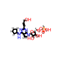 CP(=O)(O)OOC[C@H]1O[C@@H](n2ccc3c(NC4CCCC4)nc(C#CCO)nc32)[C@H](O)[C@@H]1O